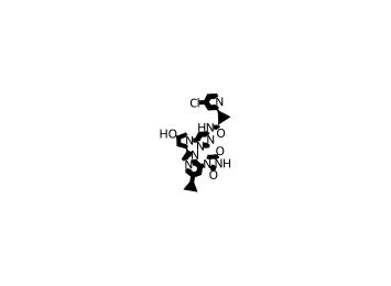 O=C1CN(c2cc(C3CC3)cn3cc([C@H]4C[C@H](O)CN4c4cc(NC(=O)[C@H]5C[C@@H]5c5cc(Cl)ccn5)ncn4)nc23)C(=O)N1